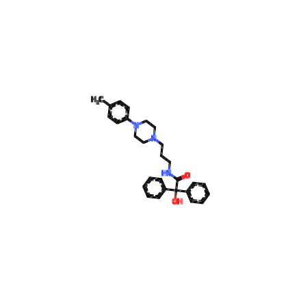 Cc1ccc(N2CCN(CCCNC(=O)C(O)(c3ccccc3)c3ccccc3)CC2)cc1